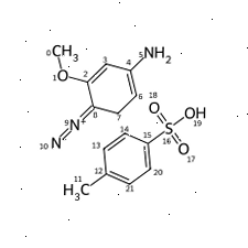 COC1=CC(N)=CCC1=[N+]=[N-].Cc1ccc(S(=O)(=O)O)cc1